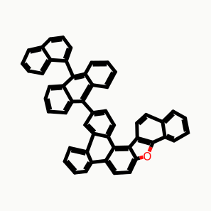 c1ccc2c(-c3c4ccccc4c(-c4ccc5c(c4)c4ccccc4c4ccc6oc7c8ccccc8ccc7c6c45)c4ccccc34)cccc2c1